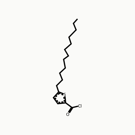 CCCCCCCCCCCCc1ccc(C(=O)Cl)s1